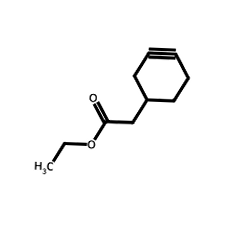 CCOC(=O)CC1CC#CCC1